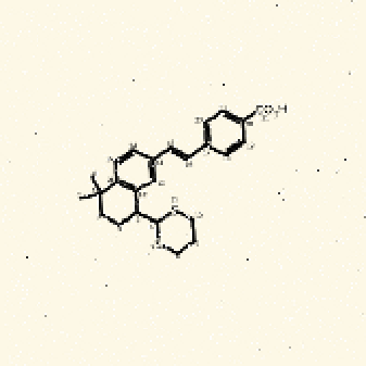 CC1(C)CCC(C2SCCCS2)c2cc(C=Cc3ccc(C(=O)O)cc3)ccc21